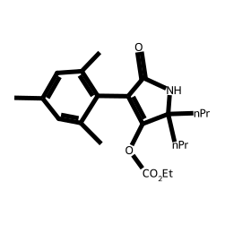 CCCC1(CCC)NC(=O)C(c2c(C)cc(C)cc2C)=C1OC(=O)OCC